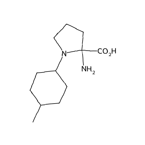 CC1CCC(N2CCCC2(N)C(=O)O)CC1